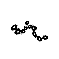 c1ccc(-c2ccc3oc4ccc(-c5ccc6sc7cc8c(cc7c6c5)c5cc(-c6ccc7oc9ccc(-c%10ccccc%10)cc9c7c6)ccc5n8-c5ccccc5)cc4c3c2)cc1